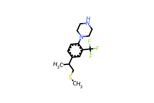 CSCC(C)c1ccc(N2CCNCC2)c(C(F)(F)F)c1